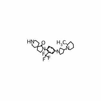 C[C@H]1CCCCN1C1CCN(c2ccc(N3CCC4(CCNCC4)C3=O)c(C(F)(F)F)c2)C1